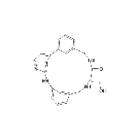 O=C1NCc2cccc(c2)-c2ccnc(n2)Nc2cccc(c2)CN[C@H]1CO